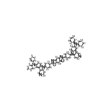 c1ccc(N(c2ccccc2)c2ccc3c(c2)c2cnccc2n3-c2ccc(-c3nc4cc5nc(-c6ccc(-n7c8ccncc8c8cc(N(c9ccccc9)c9ccccc9)ccc87)cc6)oc5cc4o3)cc2)cc1